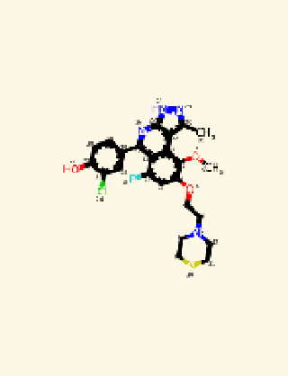 COc1c(OCCN2CCSCC2)cc(F)c2c(-c3ccc(O)c(Cl)c3)nc3[nH]nc(C)c3c12